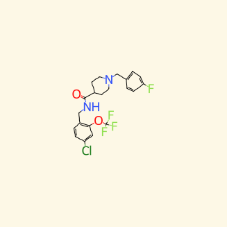 O=C(NCc1ccc(Cl)cc1OC(F)(F)F)C1CCN(Cc2ccc(F)cc2)CC1